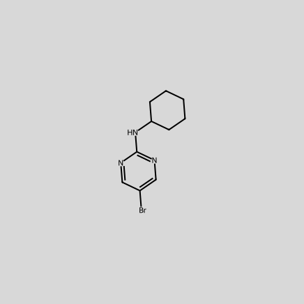 Brc1cnc(NC2CCCCC2)nc1